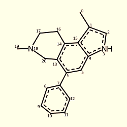 Cc1c[nH]c2cc(-c3ccccc3)c3c(c12)CCN(C)C3